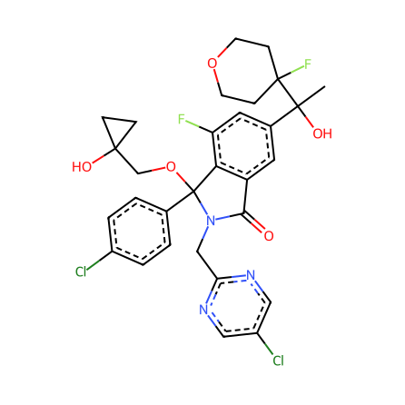 CC(O)(c1cc(F)c2c(c1)C(=O)N(Cc1ncc(Cl)cn1)C2(OCC1(O)CC1)c1ccc(Cl)cc1)C1(F)CCOCC1